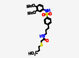 COc1ccc(NS(=O)(=O)c2ccc(CCCNC(=O)CSCCC(=O)O)cc2)cc1OC